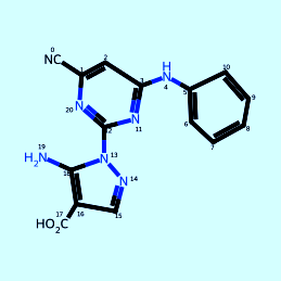 N#Cc1cc(Nc2ccccc2)nc(-n2ncc(C(=O)O)c2N)n1